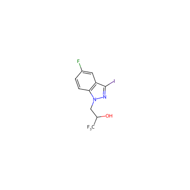 OC(Cn1nc(I)c2cc(F)ccc21)C(F)(F)F